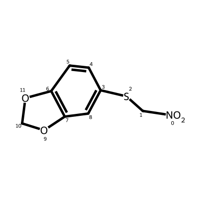 O=[N+]([O-])CSc1ccc2c(c1)OCO2